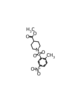 COC(=O)C1CCN(S(=O)(=O)c2cc([N+](=O)[O-])ccc2C)CC1